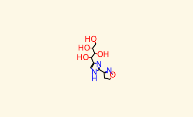 OC[C@@H](O)[C@@H](O)[C@H](O)c1c[nH]c(C2=NOCC2)n1